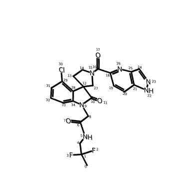 CC(F)(F)CNC(=O)CN1C(=O)C2(CCN(C(=O)c3ccc4[nH]ncc4n3)C2)c2c(Cl)cccc21